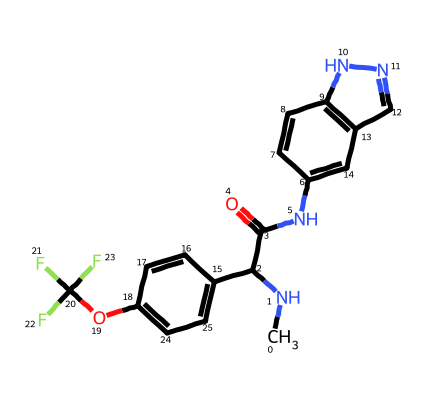 CNC(C(=O)Nc1ccc2[nH]ncc2c1)c1ccc(OC(F)(F)F)cc1